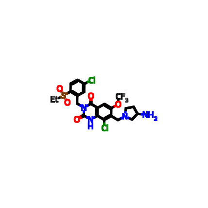 CCS(=O)(=O)c1ccc(Cl)cc1Cn1c(=O)[nH]c2c(Cl)c(CN3CCC(N)C3)c(OC(F)(F)F)cc2c1=O